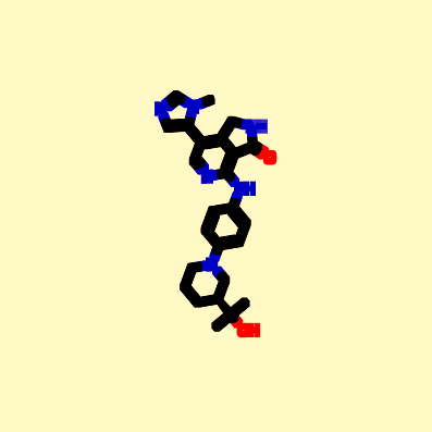 Cn1cncc1-c1cnc(Nc2ccc(N3CCC[C@H](C(C)(C)O)C3)cc2)c2c1CNC2=O